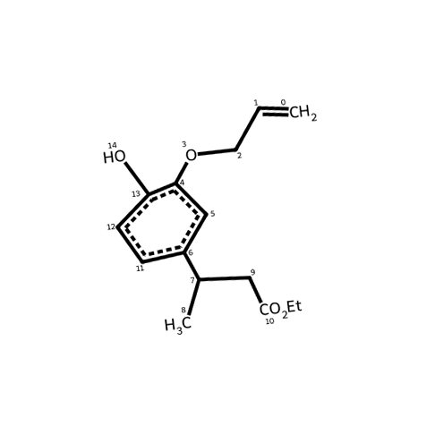 C=CCOc1cc(C(C)CC(=O)OCC)ccc1O